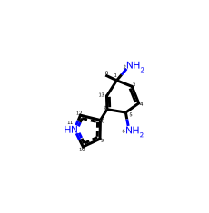 CC1(N)C=CC(N)C(c2cc[nH]c2)=C1